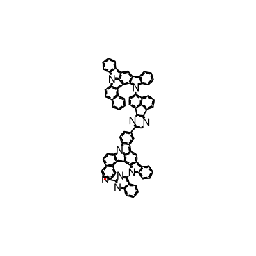 N#Cc1nc(-n2c3ccccc3c3cc4c5cc(-c6cnc7c(n6)-c6ccc(-n8c9ccccc9c9cc%10c%11ccccc%11n%11c%12ccc%13ccccc%13c%12c(c98)c%10%11)c8cccc-7c68)ccc5n5c6ccc7ccccc7c6c(c32)c45)c2ccccc2n1